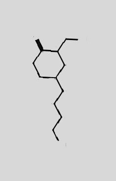 CCCCCC1CCC(=O)C(CO)C1